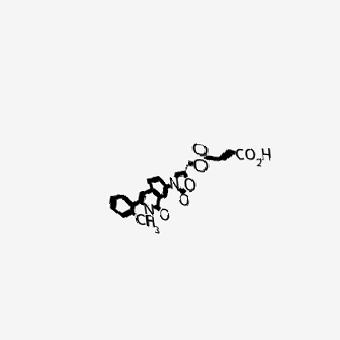 O=C(O)C=CC(=O)OC[C@H]1CN(c2ccc3cc(-c4ccccc4C(F)(F)F)[nH]c(=O)c3c2)C(=O)O1